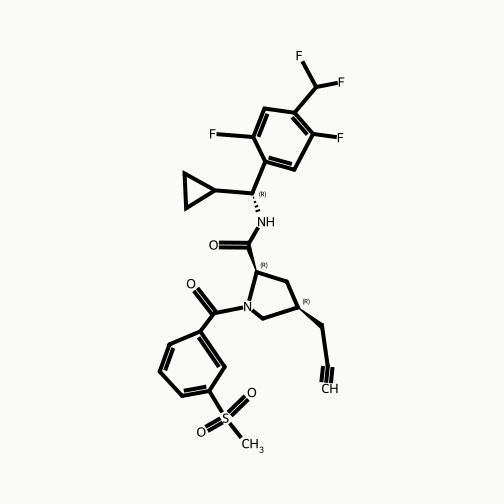 C#CC[C@@H]1C[C@H](C(=O)N[C@@H](c2cc(F)c(C(F)F)cc2F)C2CC2)N(C(=O)c2cccc(S(C)(=O)=O)c2)C1